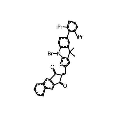 CC(C)c1cccc(C(C)C)c1-c1ccc2c(c1)C(C)(C)c1cc(C=C3C(=O)c4cc5ccccc5cc4C3=O)sc1N2Br